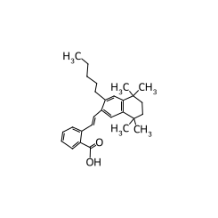 CCCCCc1cc2c(cc1C=Cc1ccccc1C(=O)O)C(C)(C)CCC2(C)C